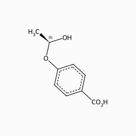 C[C@@H](O)Oc1ccc(C(=O)O)cc1